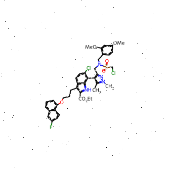 CCOC(=O)c1[nH]c2c(-c3c(CN(Cc4ccc(OC)cc4OC)S(=O)(=O)CCl)nn(C)c3C)c(Cl)ccc2c1CCCOc1cccc2cc(F)ccc12